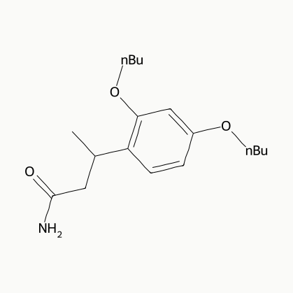 CCCCOc1ccc(C(C)CC(N)=O)c(OCCCC)c1